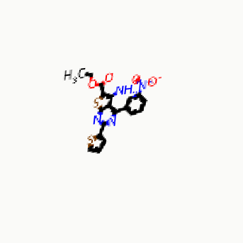 CCOC(=O)c1sc2nc(-c3cccs3)nc(-c3cccc([N+](=O)[O-])c3)c2c1N